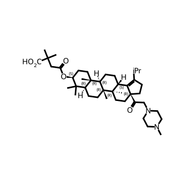 CC(C)C1=C2[C@H]3CC[C@@H]4[C@@]5(C)CC[C@H](OC(=O)CC(C)(C)C(=O)O)C(C)(C)[C@@H]5CC[C@@]4(C)[C@]3(C)CC[C@@]2(C(=O)CN2CCN(C)CC2)CC1